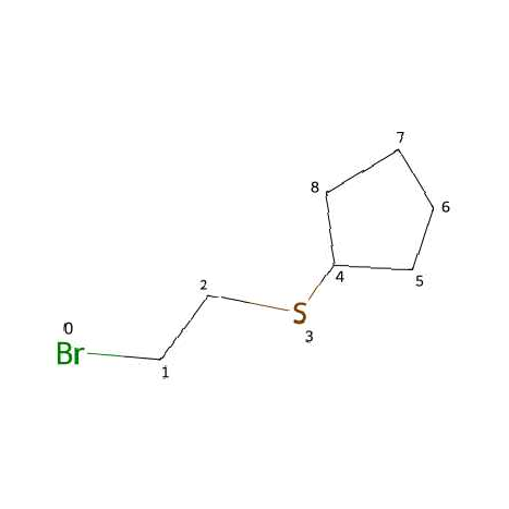 BrCCSC1CCCC1